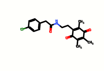 CC1=C(C)C(=O)C(CCNC(=O)Cc2ccc(Cl)cc2)=C(C)C1=O